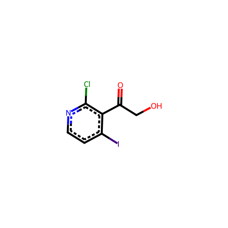 O=C(CO)c1c(I)ccnc1Cl